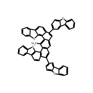 Cc1c2c(cc(-c3ccc4oc5ccccc5c4c3)c3ccc4c5ccccc5sc4c32)cc2cc(-c3ccc4oc5ccccc5c4c3)c3ccc4c5ccccc5sc4c3c12